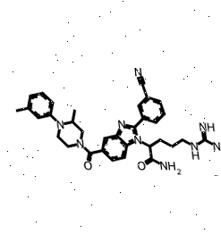 Cc1cccc(N2CCN(C(=O)c3ccc4c(c3)nc(-c3cccc(C#N)c3)n4C(CCCNC(=N)N)C(N)=O)CC2C)c1